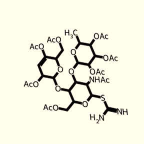 CC(=O)NC1C(SC(=N)N)OC(COC(C)=O)C(OC2OC(COC(C)=O)C(OC(C)=O)=CC2OC(C)=O)C1OC1OC(C)C(OC(C)=O)C(OC(C)=O)C1OC(C)=O